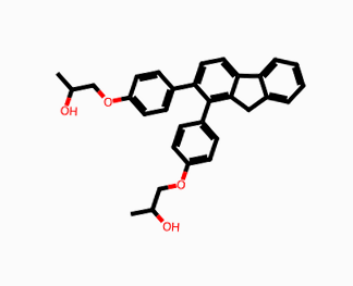 CC(O)COc1ccc(-c2ccc3c(c2-c2ccc(OCC(C)O)cc2)Cc2ccccc2-3)cc1